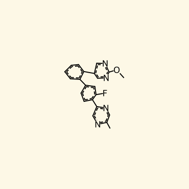 COc1ncc(-c2ccccc2-c2ccc(-c3cnc(C)cn3)c(F)c2)cn1